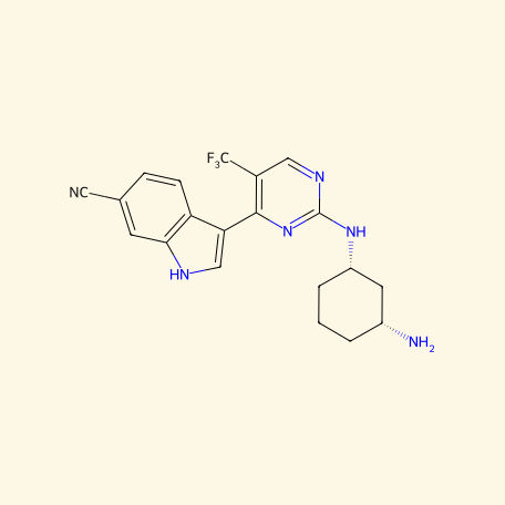 N#Cc1ccc2c(-c3nc(N[C@H]4CCC[C@@H](N)C4)ncc3C(F)(F)F)c[nH]c2c1